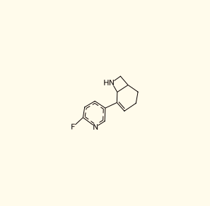 Fc1ccc(C2=CCCC3CNC23)cn1